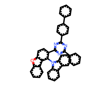 c1ccc(-c2ccc(-c3nc(-c4ccccc4)nc(-c4ccc5oc6ccccc6c5c4-n4c5ccccc5c5ccccc54)n3)cc2)cc1